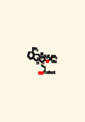 CCCCC[C@H](O)CC[C@H]1C(O[Si](C)(C)C(C)(C)C)C[C@@H]2Cc3c(C)cccc3C[C@@H]21